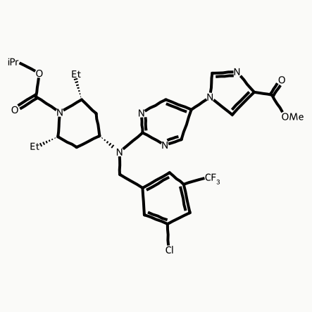 CC[C@@H]1C[C@H](N(Cc2cc(Cl)cc(C(F)(F)F)c2)c2ncc(-n3cnc(C(=O)OC)c3)cn2)C[C@H](CC)N1C(=O)OC(C)C